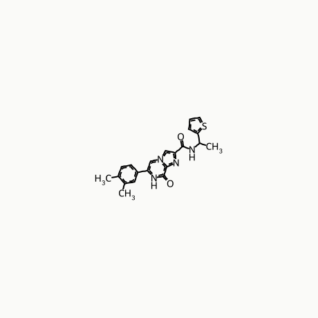 Cc1ccc(-c2cn3cc(C(=O)NC(C)c4cccs4)nc3c(=O)[nH]2)cc1C